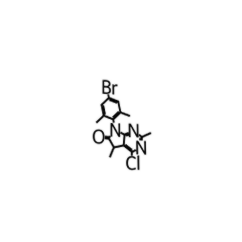 Cc1nc(Cl)c2c(n1)N(c1c(C)cc(Br)cc1C)C(=O)C2C